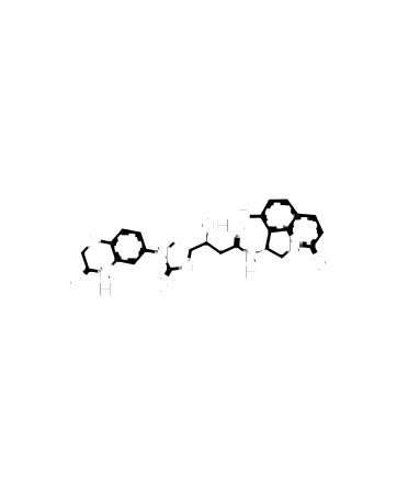 O=C1CSc2ccc(N3C[C@H]([C@@H](O)CC(=O)N[C@@H]4Cn5c(=O)ccc6ccc(F)c4c65)OC3=O)cc2N1